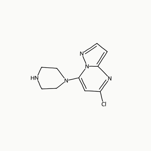 Clc1cc(N2CCNCC2)n2nccc2n1